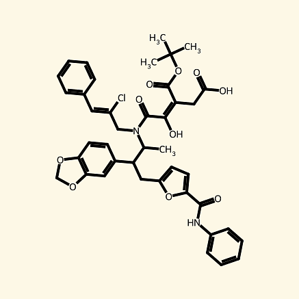 CC(C(Cc1ccc(C(=O)Nc2ccccc2)o1)c1ccc2c(c1)OCO2)N(CC(Cl)=Cc1ccccc1)C(=O)C(O)=C(CC(=O)O)C(=O)OC(C)(C)C